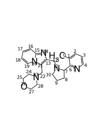 Cc1cccnc1C1CCCN1Cc1nc2ccccn2c1CN1CCOCC1